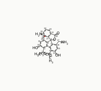 CC(C)c1cc(C2(c3cc(C(C)C)c(O)cc3CN)OC(=O)c3ccccc32)c(CN)cc1O